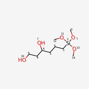 CO[Si](CCCC(O)CCO)(OC)OC